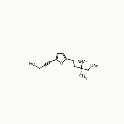 CC(=O)NC(C)(CCc1ccc(C#CCO)o1)COC(C)=O